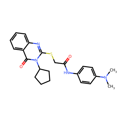 CN(C)c1ccc(NC(=O)CSc2nc3ccccc3c(=O)n2C2CCCC2)cc1